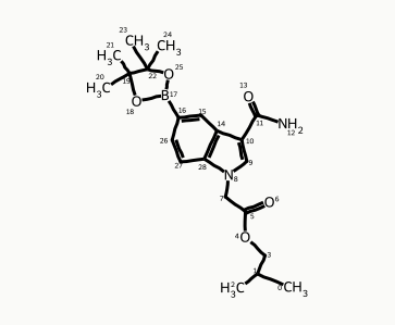 CC(C)COC(=O)Cn1cc(C(N)=O)c2cc(B3OC(C)(C)C(C)(C)O3)ccc21